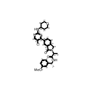 COc1cccc([C@@H](C)NC(=O)C(C)N2Cc3ccc(-c4nc(NC5CCOCC5)ncc4Cl)cc3C2=O)c1